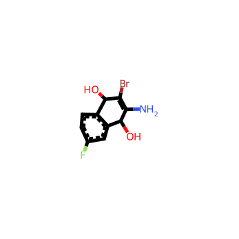 NC1=C(Br)C(O)c2ccc(F)cc2C1O